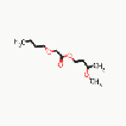 CCCCOCC(=O)OCCC(C)OC